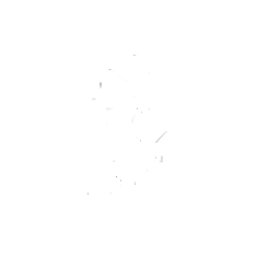 C=C1NC2CN(C3CC3)CC2N1c1nc2c3c(ccc2s1)OCC3